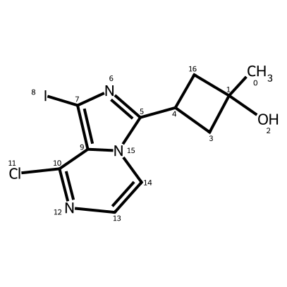 CC1(O)CC(c2nc(I)c3c(Cl)nccn23)C1